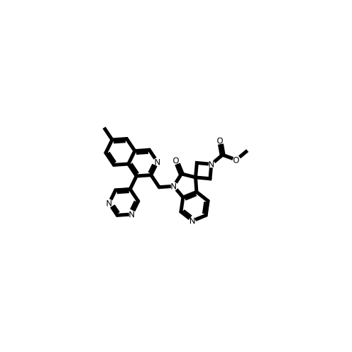 COC(=O)N1CC2(C1)C(=O)N(Cc1ncc3cc(C)ccc3c1-c1cncnc1)c1cnccc12